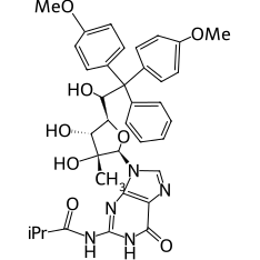 COc1ccc(C(c2ccccc2)(c2ccc(OC)cc2)C(O)[C@H]2O[C@@H](n3cnc4c(=O)[nH]c(NC(=O)C(C)C)nc43)[C@](C)(O)[C@@H]2O)cc1